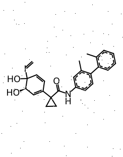 C=IC1(O)C=CC(C2(C(=O)Nc3ccc(-c4ccccc4C)c(C)c3)CC2)=C[C@H]1O